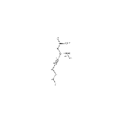 CCCCC#CC(CC(C)=O)NC